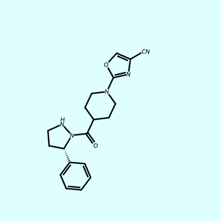 N#Cc1coc(N2CCC(C(=O)N3NCC[C@H]3c3ccccc3)CC2)n1